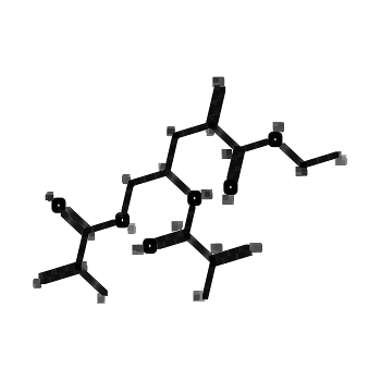 C=C(C)C(=O)OCC(CC(=C)C(=O)OCC)OC(=O)C(=C)C